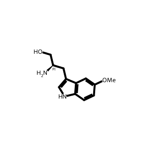 COc1ccc2[nH]cc(C[C@@H](N)CO)c2c1